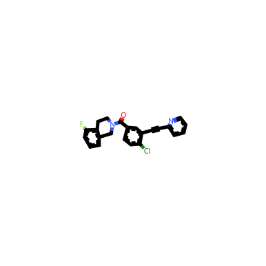 O=C(c1ccc(Cl)c(C#Cc2ccccn2)c1)N1CCc2c(F)cccc2C1